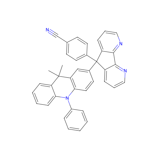 CC1(C)c2ccccc2N(c2ccccc2)c2ccc(C3(c4ccc(C#N)cc4)c4cccnc4-c4ncccc43)cc21